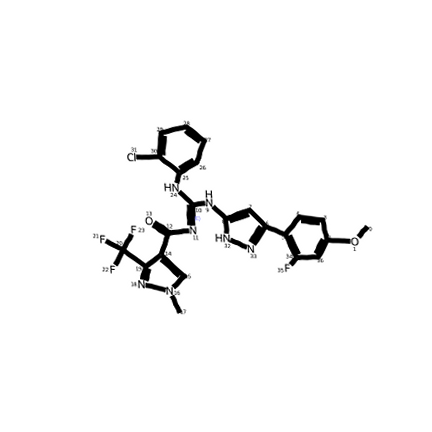 COc1ccc(-c2cc(N/C(=N/C(=O)c3cn(C)nc3C(F)(F)F)Nc3ccccc3Cl)[nH]n2)c(F)c1